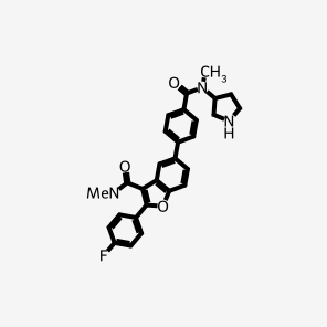 CNC(=O)c1c(-c2ccc(F)cc2)oc2ccc(-c3ccc(C(=O)N(C)C4CCNC4)cc3)cc12